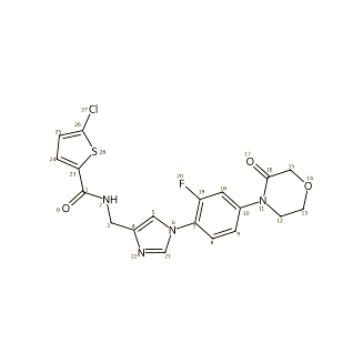 O=C(NCc1cn(-c2ccc(N3CCOCC3=O)cc2F)cn1)c1ccc(Cl)s1